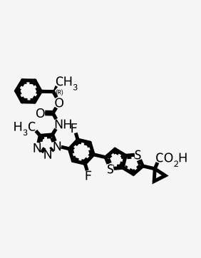 Cc1nnn(-c2cc(F)c(-c3cc4sc(C5(C(=O)O)CC5)cc4s3)cc2F)c1NC(=O)O[C@H](C)c1ccccc1